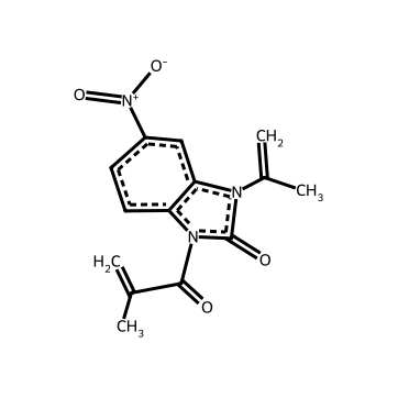 C=C(C)C(=O)n1c(=O)n(C(=C)C)c2cc([N+](=O)[O-])ccc21